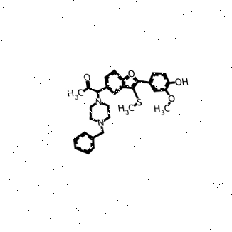 COc1cc(-c2oc3ccc(C(C(C)=O)N4CCN(Cc5ccccc5)CC4)cc3c2SC)ccc1O